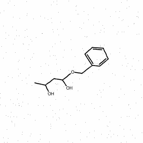 CC(O)CC(O)OCc1ccccc1